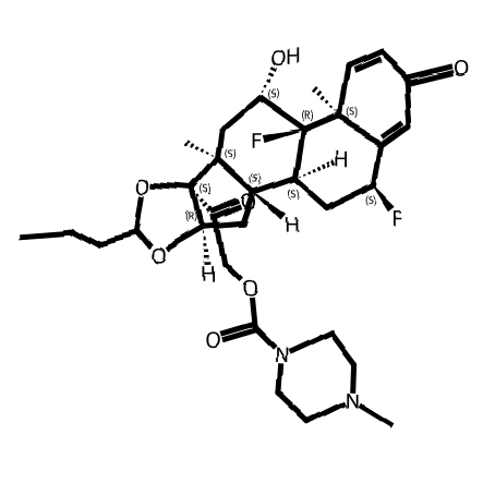 CCCC1O[C@@H]2C[C@H]3[C@@H]4C[C@H](F)C5=CC(=O)C=C[C@]5(C)[C@@]4(F)[C@@H](O)C[C@]3(C)[C@]2(C(=O)COC(=O)N2CCN(C)CC2)O1